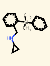 C[Si](C)(c1ccccc1)c1ccccc1CNC1CC1